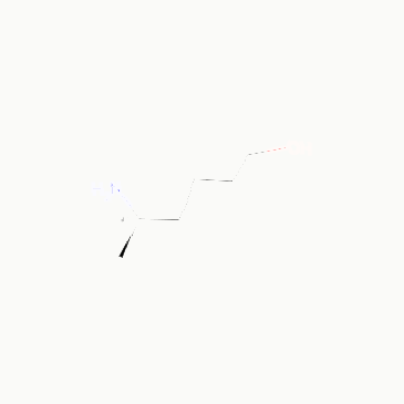 C[C@@H](N)CCCCO